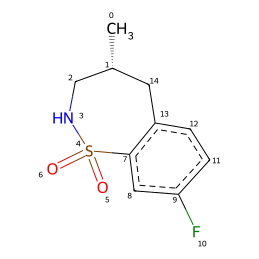 C[C@H]1CNS(=O)(=O)c2cc(F)ccc2C1